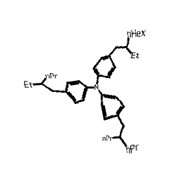 CCCCCCC(CC)Cc1ccc(N(c2ccc(CC(CC)CCC)cc2)c2ccc(CC(CCC)CCC)cc2)cc1